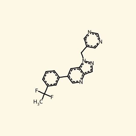 CC(F)(F)c1cccc(-c2cnc3cnn(Cc4cncnc4)c3c2)c1